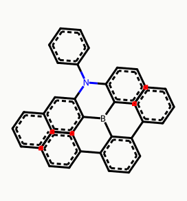 c1ccc(-c2cccc(-c3ccccc3)c2B2c3ccccc3N(c3ccccc3)c3cc4ccccc4cc32)cc1